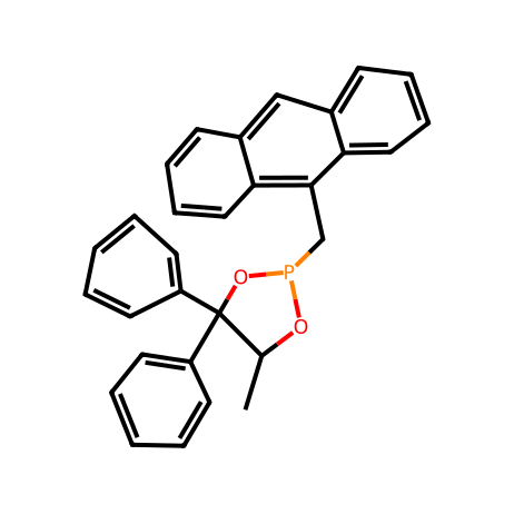 CC1OP(Cc2c3ccccc3cc3ccccc23)OC1(c1ccccc1)c1ccccc1